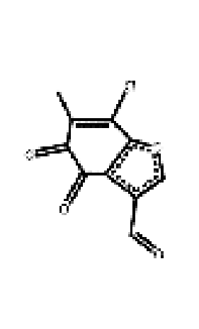 CC1=C(Cl)c2occ(C=O)c2C(=O)C1=O